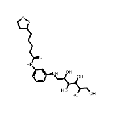 O=C(CCCCC1CCSS1)Nc1cccc(NCC(O)C(O)C(O)C(O)CO)c1